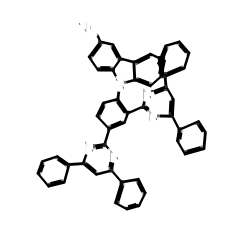 N#Cc1ccc2c(c1)c1ccccc1n2-c1ccc(-c2nc(-c3ccccc3)cc(-c3ccccc3)n2)cc1-c1nc(-c2ccccc2)cc(-c2ccccc2)n1